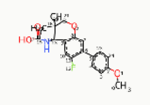 COc1ccc(-c2cc3c(cc2F)C(NC(=O)O)C(C)(C)CO3)cc1